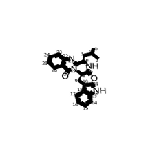 CC(C)C[C@H]1NC(=O)[C@@H](Cc2c[nH]c3ccccc23)n2c1nc1ccccc1c2=O